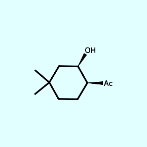 CC(=O)[C@H]1CCC(C)(C)C[C@H]1O